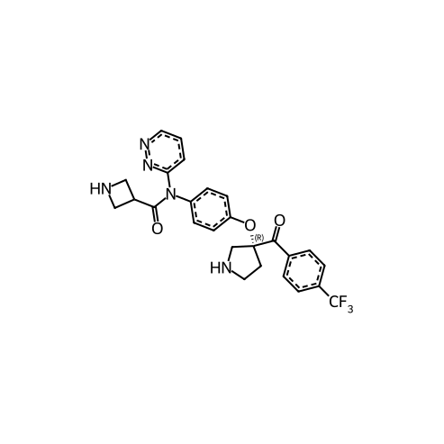 O=C(C1CNC1)N(c1ccc(O[C@]2(C(=O)c3ccc(C(F)(F)F)cc3)CCNC2)cc1)c1cccnn1